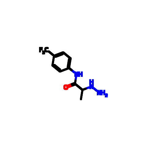 CC(NN)C(=O)Nc1ccc(C(F)(F)F)cc1